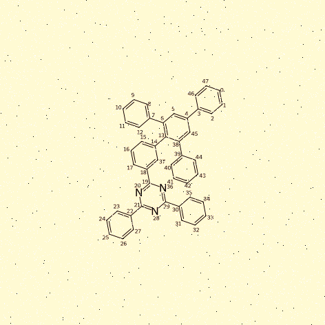 c1ccc(-c2cc(-c3ccccc3)c(-c3cccc(-c4nc(-c5ccccc5)nc(-c5ccccc5)n4)c3)c(-c3ccccc3)c2)cc1